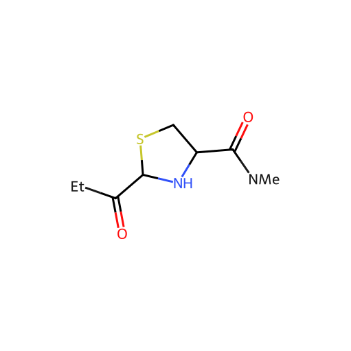 CCC(=O)C1NC(C(=O)NC)CS1